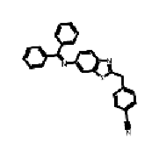 N#Cc1ccc(Cc2nc3ccc(N=C(c4ccccc4)c4ccccc4)cc3s2)cc1